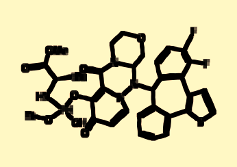 CCO[PH](O)(N[C@@H](C(=O)OC)C(C)(C)C)Oc1c2n(ccc1=O)N(C1c3ccccc3-c3sccc3-c3c1ccc(F)c3F)C1COCCN1C2=O